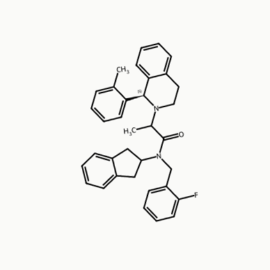 Cc1ccccc1[C@H]1c2ccccc2CCN1C(C)C(=O)N(Cc1ccccc1F)C1Cc2ccccc2C1